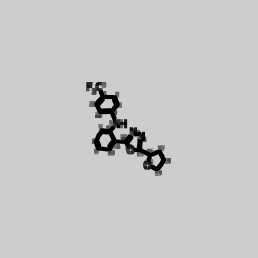 FC(F)(F)c1ccc(Nc2ccccc2-c2nnc(C3CCCO3)o2)cc1